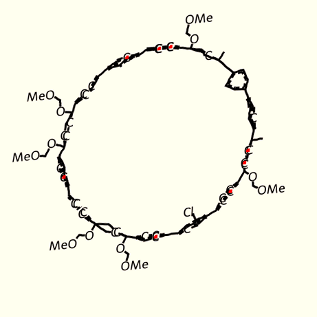 COCOC12CCC(C)(CC1)c1ccc(cc1)-c1ccc(cc1)C1(C)CCC(OCOC)(CC1)c1ccc(cc1)-c1ccc(cc1Cl)-c1ccc(cc1)C1(OCOC)CCC(OCOC)(CC1)c1ccc(cc1)-c1ccc(cc1)C1(OCOC)CCC(OCOC)(CC1)c1ccc(cc1)-c1ccc(cc1)-c1ccc2cc1